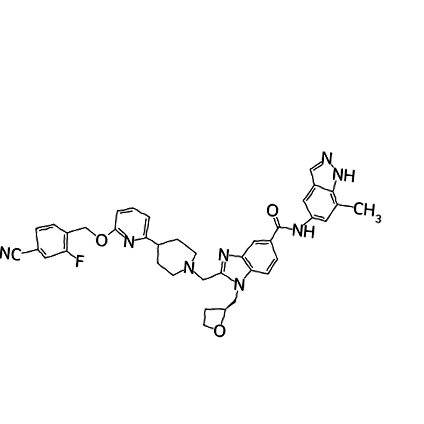 Cc1cc(NC(=O)c2ccc3c(c2)nc(CN2CCC(c4cccc(OCc5ccc(C#N)cc5F)n4)CC2)n3C[C@@H]2CCO2)cc2cn[nH]c12